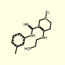 CC(=O)N1CCC(NCCO)=C(C(=N)Nc2cccc(C)c2)C1